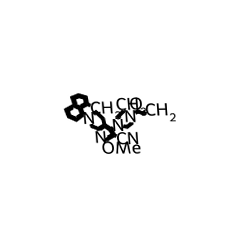 C=CC(=O)N1CCN(c2c(C#N)c(OC)nc3c2CCN(c2cccc4cccc(C)c24)C3)CC1C